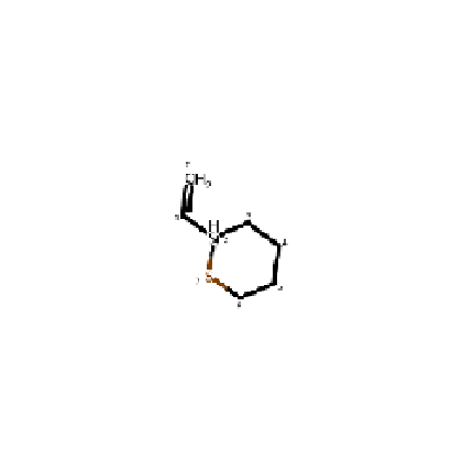 C=C[SiH]1CCCCS1